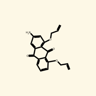 C=CCOc1cccc2c1C(=O)c1c(OCC=C)cc(N)cc1C2=O